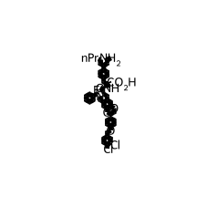 C=C/C=C(\C=C(/N)CCC)c1ccc(C[C@H](NC(=O)[C@@H]2Cc3cc4c(cc3CN2[C@@H](CC)c2ccccc2)O[C@@H](c2ccc(OCc3ccc(Cl)c(Cl)c3)cc2)CO4)C(=O)O)cc1